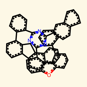 c1ccc(-c2cccc3oc4cccc(-c5nc(-c6ccc7ccccc7c6)nc(-c6ccccc6-c6cccc7c6Cc6c-7ccc7ccccc67)n5)c4c23)cc1